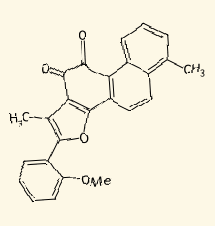 COc1ccccc1-c1oc2c(c1C)C(=O)C(=O)c1c-2ccc2c(C)cccc12